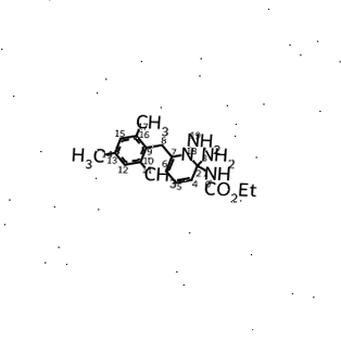 CCOC(=O)NC1(N)C=CC=C(Cc2c(C)cc(C)cc2C)N1N